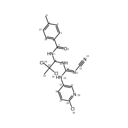 Cc1ccc(C(=O)NC(N/C(=N\C#N)Nc2ccc(Cl)nc2)C(C)(Cl)Cl)cc1